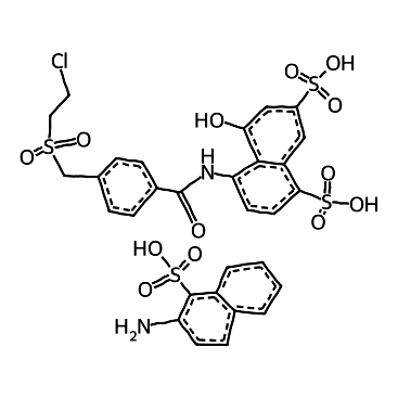 Nc1ccc2ccccc2c1S(=O)(=O)O.O=C(Nc1ccc(S(=O)(=O)O)c2cc(S(=O)(=O)O)cc(O)c12)c1ccc(CS(=O)(=O)CCCl)cc1